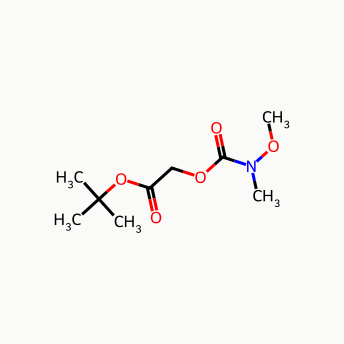 CON(C)C(=O)OCC(=O)OC(C)(C)C